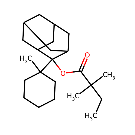 CCC(C)(C)C(=O)OC1(C2(C)CCCCC2)C2CC3CC(C2)CC1C3